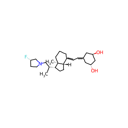 CC(CN1CC[C@H](F)C1)[C@H]1CC[C@H]2/C(=C/C=C3C[C@@H](O)C[C@H](O)C3)CCC[C@]12C